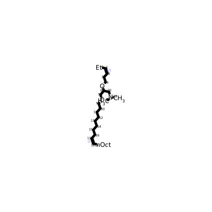 CC/C=C\CCOC(COCCCCCCCC/C=C\CCCCCCCC)CN(C)C